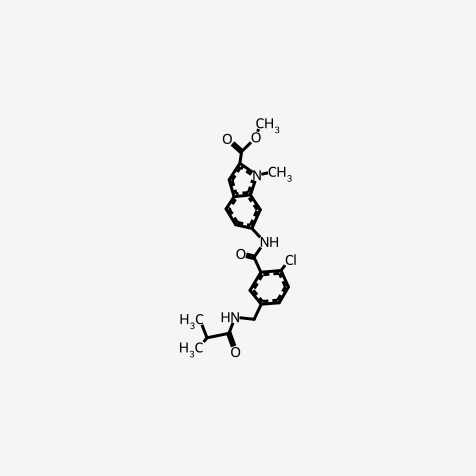 COC(=O)c1cc2ccc(NC(=O)c3cc(CNC(=O)C(C)C)ccc3Cl)cc2n1C